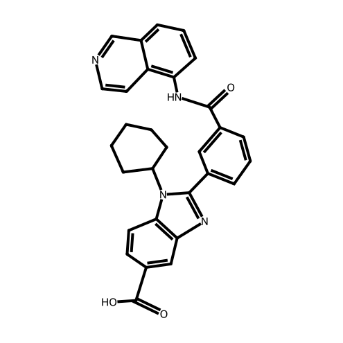 O=C(O)c1ccc2c(c1)nc(-c1cccc(C(=O)Nc3cccc4cnccc34)c1)n2C1CCCCC1